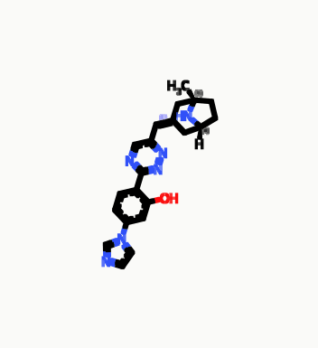 C[C@]12CC[C@H](C/C(=C\c3cnc(-c4ccc(-n5ccnc5)cc4O)nn3)C1)N2